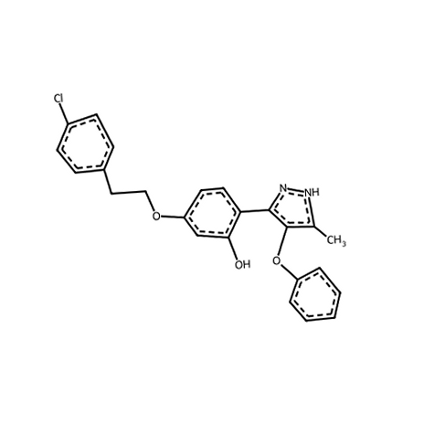 Cc1[nH]nc(-c2ccc(OCCc3ccc(Cl)cc3)cc2O)c1Oc1ccccc1